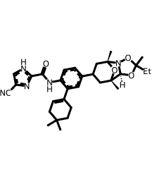 CCC1(C)O[C@@H]2N(O1)[C@@]1(C)CC(c3ccc(NC(=O)c4nc(C#N)c[nH]4)c(C4=CCC(C)(C)CC4)c3)C[C@]2(C)O1